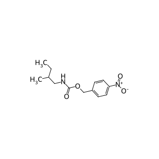 CCC(C)CNC(=O)OCc1ccc([N+](=O)[O-])cc1